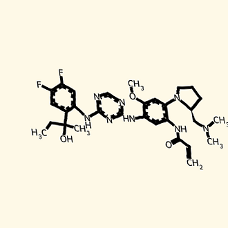 C=CC(=O)Nc1cc(Nc2ncnc(Nc3cc(F)c(F)cc3C(C)(O)CC)n2)c(OC)cc1N1CCC[C@H]1CN(C)C